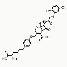 N[C@@H](CCCC[n+]1ccc(SCC2=C(C(=O)O)N3C(=O)[C@H](NC(=O)CSc4cc(Cl)ccc4Cl)[C@H]3SC2)cc1)C(=O)O